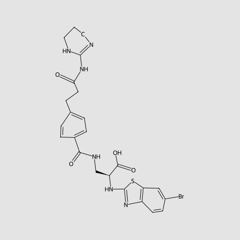 O=C(CCc1ccc(C(=O)NC[C@H](Nc2nc3ccc(Br)cc3s2)C(=O)O)cc1)NC1=NCCCN1